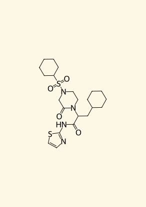 O=C(Nc1nccs1)C(CC1CCCCC1)N1CCN(S(=O)(=O)C2CCCCC2)CC1=O